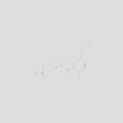 CCOCc1ccc(C)c(N/C(=N/C(C)N2CCNC2=O)OC)c1